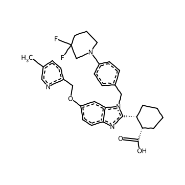 Cc1ccc(COc2ccc3nc([C@@H]4CCCC[C@@H]4C(=O)O)n(Cc4ccc(N5CCCC(F)(F)C5)cc4)c3c2)nc1